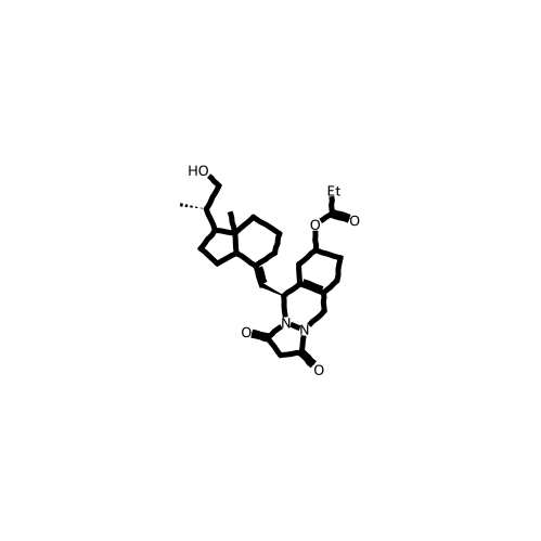 CCC(=O)OC1CCC2=C(C1)[C@H](/C=C1\CCCC3(C)C1CCC3[C@H](C)CO)N1C(=O)CC(=O)N1C2